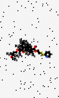 COC(C)(C)CCOC(C)(C)C(=O)C(C(C)C(C)(C)C)C(C)(C)C(C)(C)CC(C(=O)OCCSSc1ccccn1)C(C)(C)C